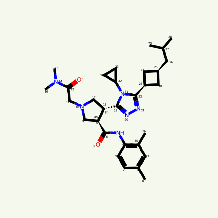 Cc1ccc(NC(=O)[C@H]2CN(CC(=O)N(C)C)C[C@@H]2c2nnc([C@H]3C[C@@H](CC(C)C)C3)n2C2CC2)c(C)c1